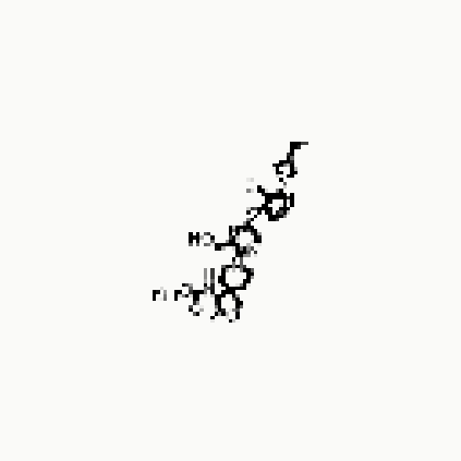 C[C@@H]1OCC2(CCN(c3ncc(Sc4ccnc(N5CC(CF)C5)c4Cl)nc3CO)CC2)[C@@H]1NC(=O)OC(C)(C)C